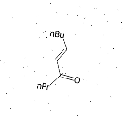 CCCCC=CC(=O)CCC